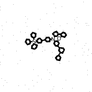 c1ccc(-c2cccc(-c3ccc(N(c4ccc(-c5ccc([Si](c6ccccc6)(c6ccccc6)c6ccccc6)cc5)cc4)c4cccc5c4oc4ccccc45)cc3)c2)cc1